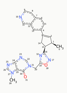 C[C@@H]1C=C(c2ccc3ccncc3c2)C[C@@H]1c1noc(Cn2cnc3ncn(C)c3c2=O)n1